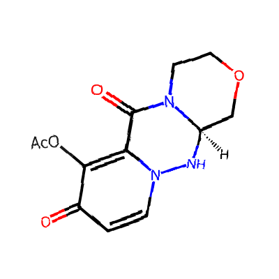 CC(=O)Oc1c2n(ccc1=O)N[C@@H]1COCCN1C2=O